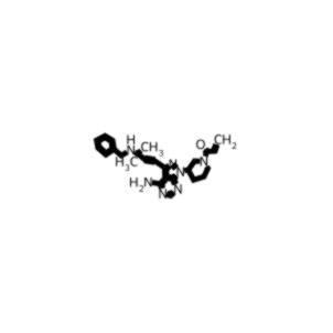 C=CC(=O)N1CCCC(n2nc(C#CC(C)(C)NCc3ccccc3)c3c(N)ncnc32)C1